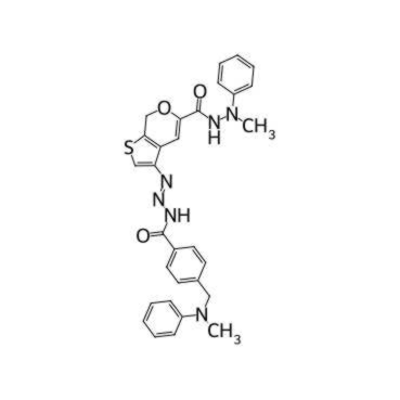 CN(Cc1ccc(C(=O)NN=Nc2csc3c2C=C(C(=O)NN(C)c2ccccc2)OC3)cc1)c1ccccc1